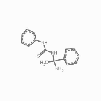 CC(N)(NC(=S)Nc1ccccc1)c1ccccc1